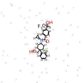 C[C@](O)(c1ccc(C(=O)N(C2CC2)[C@H]2CC[C@@](CO)(c3ccccc3F)CC2)cc1)C(F)(F)F